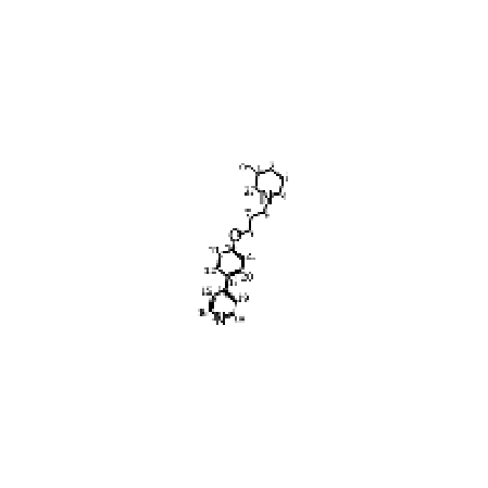 C[C@H]1CCCN(CCCOc2ccc(-c3ccncc3)cc2)C1